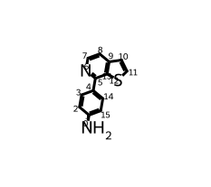 Nc1ccc(-c2nccc3ccsc23)cc1